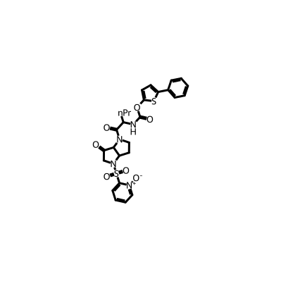 CCCC(NC(=O)Oc1ccc(-c2ccccc2)s1)C(=O)N1CCC2C1C(=O)CN2S(=O)(=O)c1cccc[n+]1[O-]